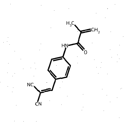 C=C(C)C(=O)Nc1ccc(C=C(C#N)C#N)cc1